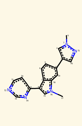 Cn1cc(-c2ccc3c(-c4ccncn4)cn(C)c3c2)cn1